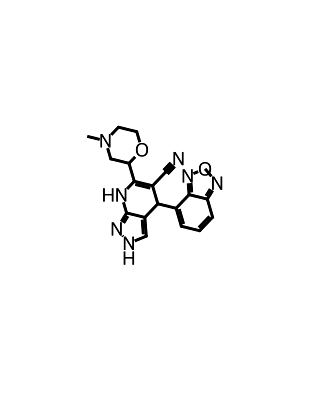 CN1CCOC(C2=C(C#N)C(c3cccc4nonc34)c3c[nH]nc3N2)C1